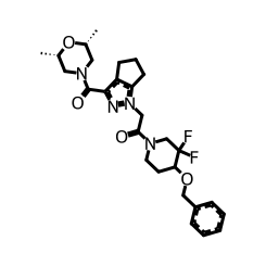 C[C@@H]1CN(C(=O)c2nn(CC(=O)N3CCC(OCc4ccccc4)C(F)(F)C3)c3c2CCC3)C[C@H](C)O1